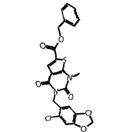 Cn1c(=O)n(Cc2cc3c(cc2Cl)OCO3)c(=O)c2cc(C(=O)OCc3ccccc3)sc21